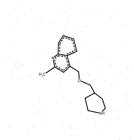 Cc1cc(COCC2CCNCC2)c2ccccc2n1